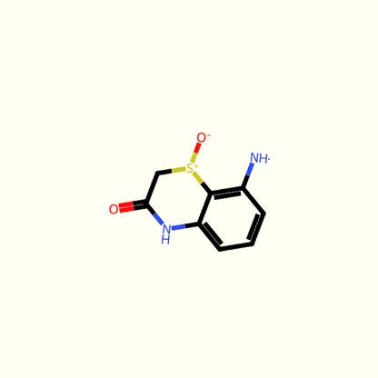 [NH]c1cccc2c1[S+]([O-])CC(=O)N2